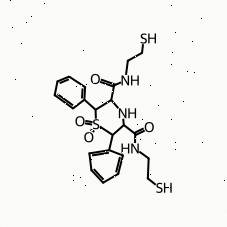 O=C(NCCS)C1NC(C(=O)NCCS)C(c2ccccc2)S(=O)(=O)C1c1ccccc1